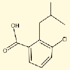 CC(C)Cc1c(Cl)cccc1C(=O)O